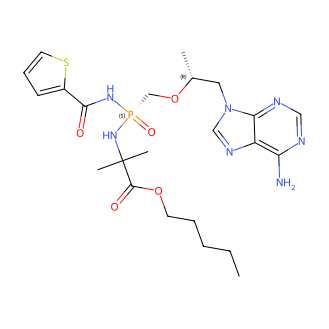 CCCCCOC(=O)C(C)(C)N[P@@](=O)(CO[C@H](C)Cn1cnc2c(N)ncnc21)NC(=O)c1cccs1